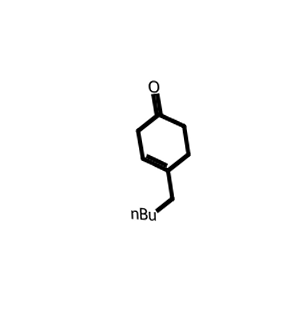 CCCCCC1=CCC(=O)CC1